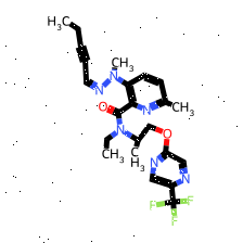 CCC#C/C=N\N(C)c1ccc(C)nc1C(=O)N(CC)C(C)COc1cnc(C(F)(F)F)cn1